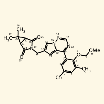 COCOc1c(C)cc(Cl)cc1-c1ncnn2cc(CN3C(=O)C4C(C3=O)C4(C)C)cc12